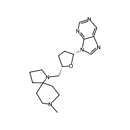 CN1CCC2(CCCN2C[C@@H]2CC[C@H](n3cnc4cncnc43)O2)CC1